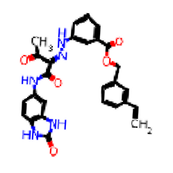 C=Cc1cccc(COC(=O)c2cccc(N/N=C(\C(C)=O)C(=O)Nc3ccc4[nH]c(=O)[nH]c4c3)c2)c1